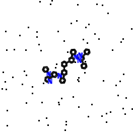 c1ccc(-c2cc(-c3ccccc3)nc(-n3c4ccccc4c4cc(-c5cccc(-c6ccc7c8ccccc8n(-c8ccc9c(c8)c8ncccc8n9-c8ccccc8)c7c6)c5)ccc43)n2)cc1